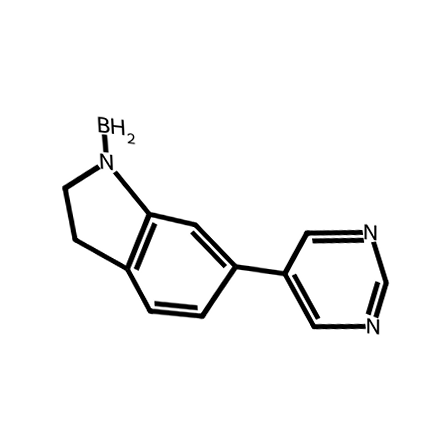 BN1CCc2ccc(-c3cncnc3)cc21